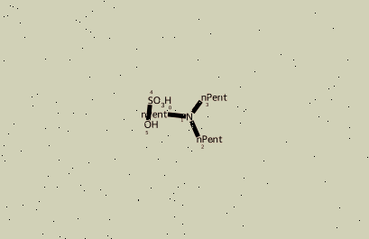 CCCCCN(CCCCC)CCCCC.O=S(=O)(O)O